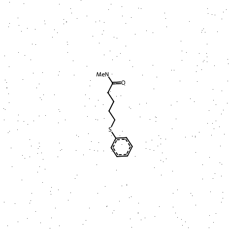 CNC(=O)CCCCSc1ccccc1